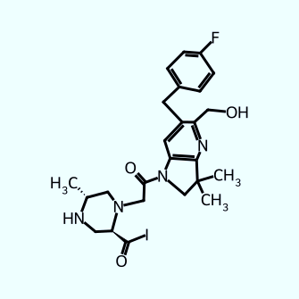 C[C@@H]1CN(CC(=O)N2CC(C)(C)c3nc(CO)c(Cc4ccc(F)cc4)cc32)[C@@H](C(=O)I)CN1